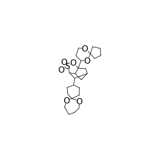 O=S1(=O)OC2(C3CCOC4(CCCC4)O3)CC3CC2C1C3C1CCC2(CC1)OCCCCO2